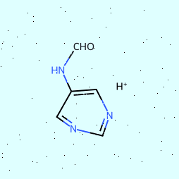 O=CNc1cncnc1.[H+]